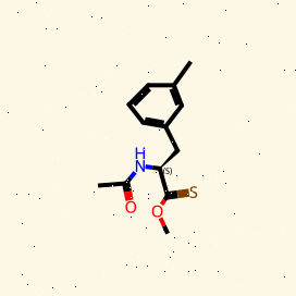 COC(=S)[C@H](Cc1cccc(C)c1)NC(C)=O